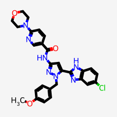 COc1ccc(Cn2nc(NC(=O)c3ccc(N4CCOCC4)nc3)cc2-c2nc3cc(Cl)ccc3[nH]2)cc1